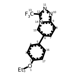 CCOc1ccc(-c2ccc3nnc(C(F)(F)F)n3c2)cc1